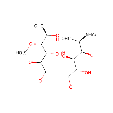 CC(=O)N[C@H](C=O)[C@@H](O)[C@H](O)[C@H](O)CO.O=C[C@@H](O)[C@@H](OS(=O)(=O)O)[C@H](O)[C@H](O)CO